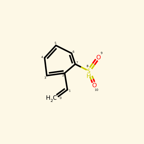 C=Cc1ccccc1[SH](=O)=O